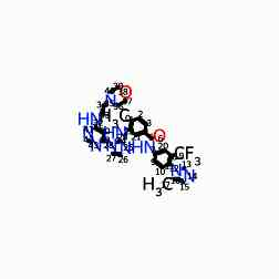 Cc1ccc(C(=O)Nc2ccc(-n3cncc3C)c(C(F)(F)F)c2)cc1Nc1nccn1-c1cc(NCCN2CCOCC2)ncn1